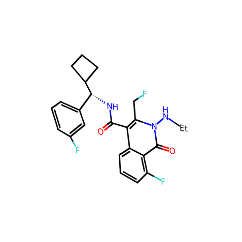 CCNn1c(CF)c(C(=O)N[C@H](c2cccc(F)c2)C2CCC2)c2cccc(F)c2c1=O